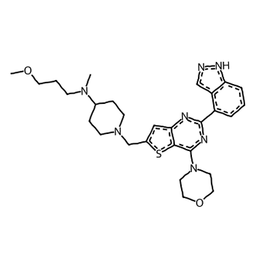 COCCCN(C)C1CCN(Cc2cc3nc(-c4cccc5[nH]ncc45)nc(N4CCOCC4)c3s2)CC1